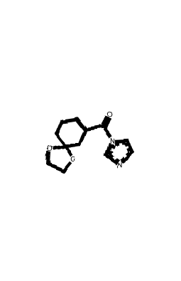 O=C(C1CCCC2(C1)OCCO2)n1ccnc1